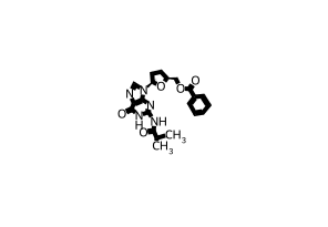 CC(C)C(=O)Nc1nc2c(ncn2[C@H]2CC[C@@H](COC(=O)c3ccccc3)O2)c(=O)[nH]1